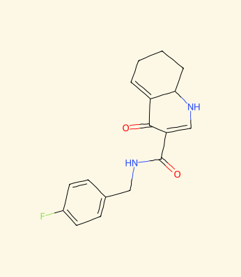 O=C(NCc1ccc(F)cc1)C1=CNC2CCCC=C2C1=O